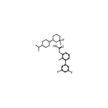 Cc1c(CC(=O)N[C@@H]2[C@@H](N3CCN(C(C)C)CC3)CCCC2(F)F)cccc1-c1cc(F)cc(F)c1